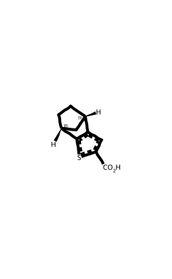 O=C(O)c1cc2c(s1)[C@@H]1CC[C@H]2C1